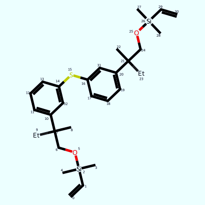 C=C[Si](C)(C)OCC(C)(CC)c1cccc(Sc2cccc(C(C)(CC)CO[Si](C)(C)C=C)c2)c1